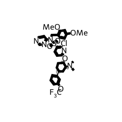 COc1ccc(CN(c2ccncn2)S(=O)(=O)c2ccc(O[C@H]3CC[C@H](c4cccc(OC(F)(F)F)c4)C[C@@H]3N(C)C)nc2Cl)c(OC)c1